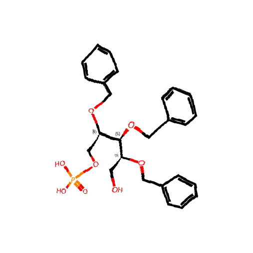 O=P(O)(O)OC[C@@H](OCc1ccccc1)[C@@H](OCc1ccccc1)[C@H](CO)OCc1ccccc1